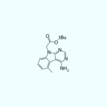 Cc1cccc2c1c1c(N)ncnc1n2CC(=O)OC(C)(C)C